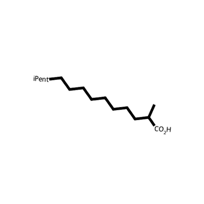 CCCC(C)CCCCCCCCC(C)C(=O)O